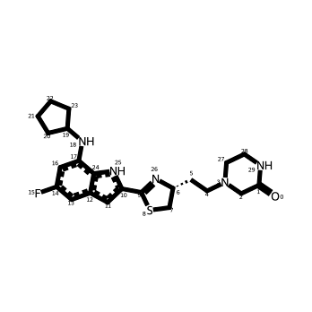 O=C1CN(CC[C@@H]2CSC(c3cc4cc(F)cc(NC5CCCC5)c4[nH]3)=N2)CCN1